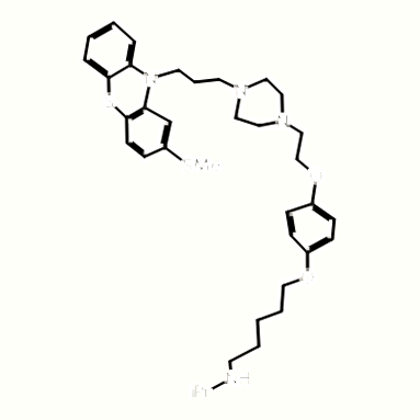 CSc1ccc2c(c1)N(CCCN1CCN(CCOc3ccc(OCCCCCNC(C)C)cc3)CC1)c1ccccc1S2